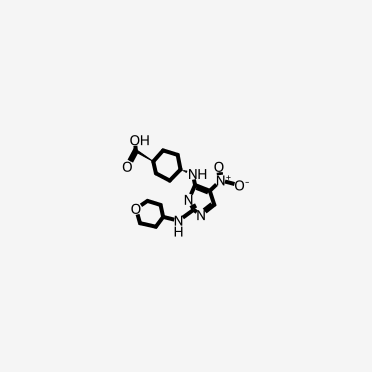 O=C(O)[C@H]1CC[C@H](Nc2nc(NC3CCOCC3)ncc2[N+](=O)[O-])CC1